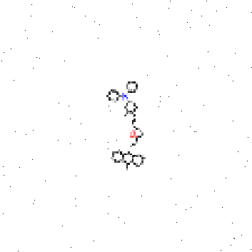 Cc1cc(N(c2ccccc2)c2ccccc2)ccc1C=Cc1ccc(C=Cc2c3ccccc3c(C)c3ccccc23)o1